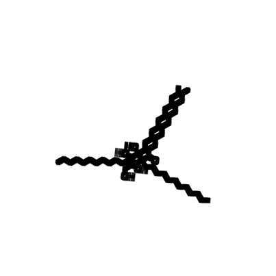 CCCCCCCCCCCCO[C@@](CCCCCCCCCCCC)(C(=O)CCCCCCCCCCCC)C(O)(CCCCCCCCCCCC)C(O)C(O)CO